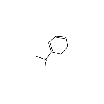 CB(C)C1=CC=CCC1